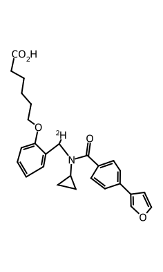 [2H]C(c1ccccc1OCCCCCC(=O)O)N(C(=O)c1ccc(-c2ccoc2)cc1)C1CC1